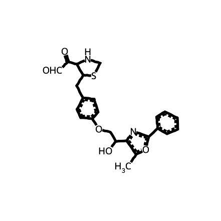 Cc1oc(-c2ccccc2)nc1C(O)COc1ccc(CC2SCNC2C(=O)C=O)cc1